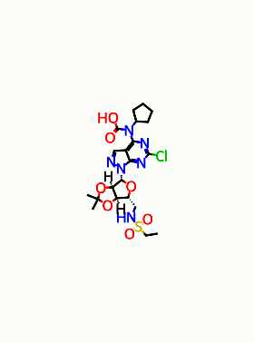 CCS(=O)(=O)NC[C@H]1O[C@@H](n2ncc3c(N(C(=O)O)C4CCCC4)nc(Cl)nc32)[C@@H]2OC(C)(C)O[C@@H]21